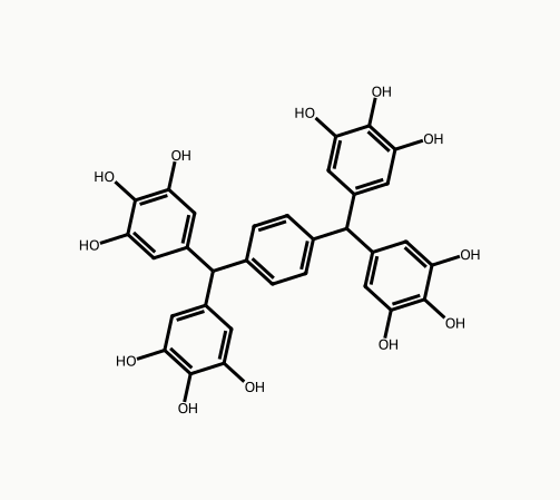 Oc1cc(C(c2ccc(C(c3cc(O)c(O)c(O)c3)c3cc(O)c(O)c(O)c3)cc2)c2cc(O)c(O)c(O)c2)cc(O)c1O